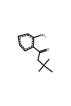 CC(C)(C)CC(=O)c1ccccc1N